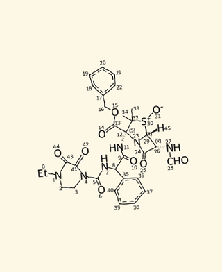 CCN1CCN(C(=O)NC(C(=O)N[C@@]2(C(=O)OCc3ccccc3)N3C(=O)[C@@H](NC=O)[C@H]3[S+]([O-])C2(C)C)c2ccccc2)C(=O)C1=O